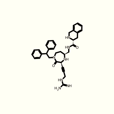 N=C(N)NCC#C[C@@H]1N[C@H](CNC(=O)[C@H]2Cc3ccccc3CN2)CCN(CC(c2ccccc2)c2ccccc2)C1=O